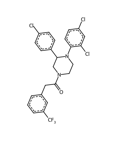 O=C(Cc1cccc(C(F)(F)F)c1)N1CCN(c2ccc(Cl)cc2Cl)C(c2ccc(Cl)cc2)C1